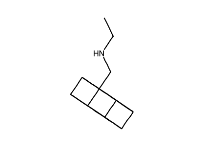 CCNCC12C3C4C5C3C1C5C42